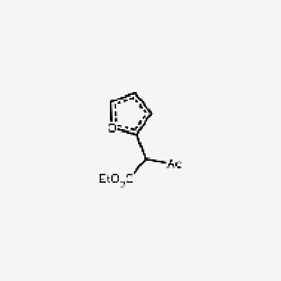 CCOC(=O)C(C(C)=O)c1ccco1